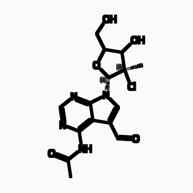 CC(=O)Nc1ncnc2c1c(C=O)cn2[C@@H]1OC(CO)C(O)[C@@]1(C)Cl